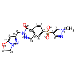 Cn1cc(S(=O)(=O)c2ccc3c(=O)n(Cc4cc5n(n4)CCO5)ncc3c2)cn1